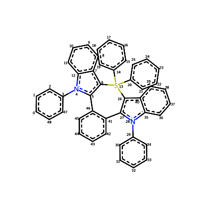 c1ccc(-n2c3c(c4ccccc42)S(c2ccccc2)(c2ccccc2)c2c(n(-c4ccccc4)c4ccccc24)-c2ccccc2-3)cc1